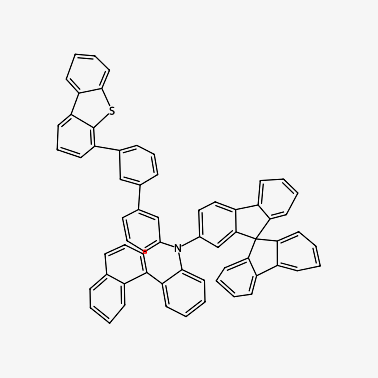 c1cc(-c2cccc(N(c3ccc4c(c3)C3(c5ccccc5-c5ccccc53)c3ccccc3-4)c3ccccc3-c3cccc4ccccc34)c2)cc(-c2cccc3c2sc2ccccc23)c1